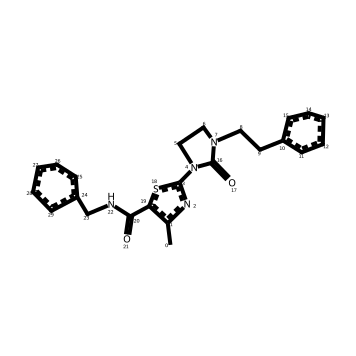 Cc1nc(N2CCN(CCc3ccccc3)C2=O)sc1C(=O)NCc1ccccc1